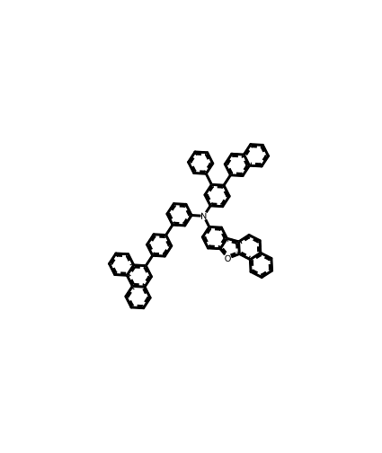 c1ccc(-c2cc(N(c3cccc(-c4ccc(-c5cc6ccccc6c6ccccc56)cc4)c3)c3ccc4oc5c6ccccc6ccc5c4c3)ccc2-c2ccc3ccccc3c2)cc1